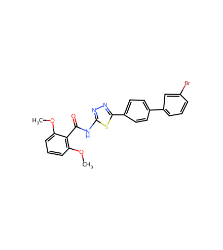 COc1cccc(OC)c1C(=O)Nc1nnc(-c2ccc(-c3cccc(Br)c3)cc2)s1